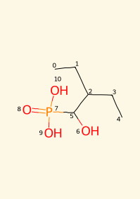 CCC(CC)C(O)P(=O)(O)O